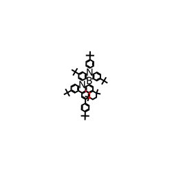 CC(C)(C)c1ccc(-c2cccc(-c3cc(C(C)(C)C)ccc3N3c4cc5c(cc4B4c6cc(C(C)(C)C)ccc6N(c6ccc(C(C)(C)C)cc6)c6cc(C(C)(C)C)cc3c64)C(C)(C)CCC5(C)C)c2)cc1